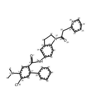 CN(C)c1cc(C(=O)Nc2ccc3c(c2)CCN3C(=O)Cc2ccccn2)c(-c2ccccc2)cc1Cl